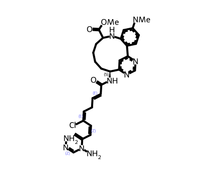 C=C(/C=C\C(Cl)=C/C/C=C/C(=O)N[C@H]1CCCCC(C(=O)OC)Nc2cc(NC)ccc2-c2cc1ncn2)N(N)/C=N\N